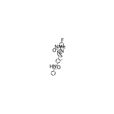 CNC(=O)c1c(-c2ccc(F)cc2)nc2sc(-c3ccc(C(=O)NC(C)(C)c4ccccc4)cc3C)cn12